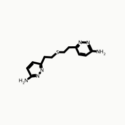 Nc1ccc(CCSCCc2ccc(N)nn2)nn1